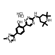 Cl.Cl.Cn1nnc(-c2ccc(-c3cnc(NC4CC(C)(C)NC(C)(C)C4)nn3)c(O)c2)n1